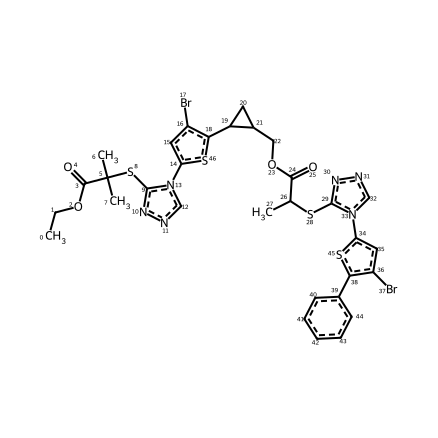 CCOC(=O)C(C)(C)Sc1nncn1-c1cc(Br)c(C2CC2COC(=O)C(C)Sc2nncn2-c2cc(Br)c(-c3ccccc3)s2)s1